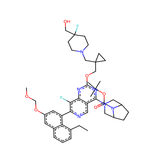 CCc1cccc2cc(OCOC)cc(-c3ncc4c(N5CC6CCC(C5)N6C(=O)OC(C)(C)C)nc(OCC5(CN6CCC(F)(CO)CC6)CC5)nc4c3F)c12